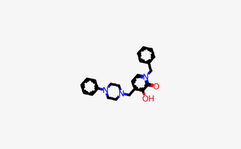 O=c1c(O)c(CN2CCN(c3ccccc3)CC2)ccn1Cc1ccccc1